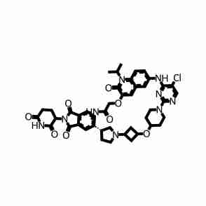 CNC(=O)COc1cc2cc(Nc3nc(N4CCC(OC5CC(N6CC[C@H](c7ccc8c(c7)C(=O)N(C7CCC(=O)NC7=O)C8=O)C6)C5)CC4)ncc3Cl)ccc2n(C(C)C)c1=O